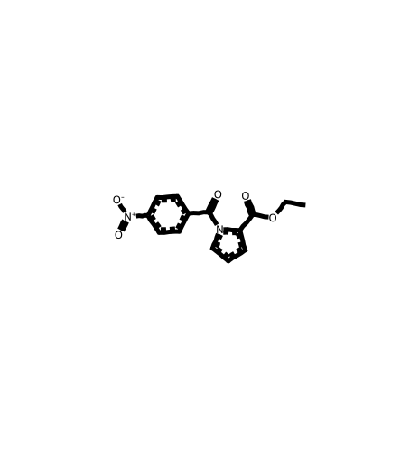 CCOC(=O)c1cccn1C(=O)c1ccc([N+](=O)[O-])cc1